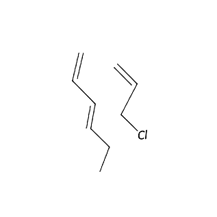 C=C/C=C/CC.C=CCCl